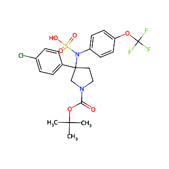 CC(C)(C)OC(=O)N1CCC(c2ccc(Cl)cc2)(N(c2ccc(OC(F)(F)F)cc2)S(=O)(=O)O)C1